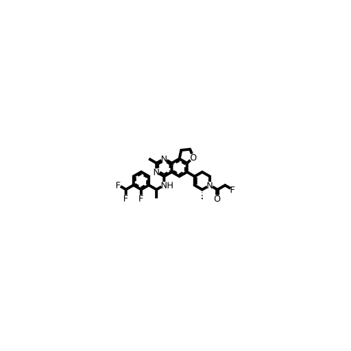 Cc1nc(NC(C)c2cccc(C(F)F)c2F)c2cc(C3=C[C@@H](C)N(C(=O)CF)CC3)c3c(c2n1)CCO3